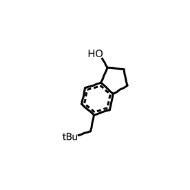 CC(C)(C)Cc1ccc2c(c1)CCC2O